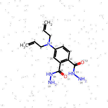 C=CCN(CC=C)c1ccc(C(=O)NN)c(C(=O)NN)c1